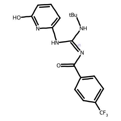 CC(C)(C)N/C(=N/C(=O)c1ccc(C(F)(F)F)cc1)Nc1cccc(O)n1